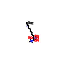 CCCCCCCCCC/C=C/CCCCCCC(O)(C[N+](C)(C)C)P(=O)(O)O